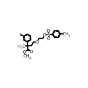 COC(=O)C(C)(CCOCCOS(=O)(=O)c1ccc(C)cc1)c1cccc(I)c1